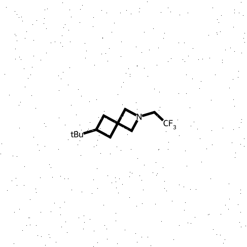 CC(C)(C)C1CC2(C1)CN(CC(F)(F)F)C2